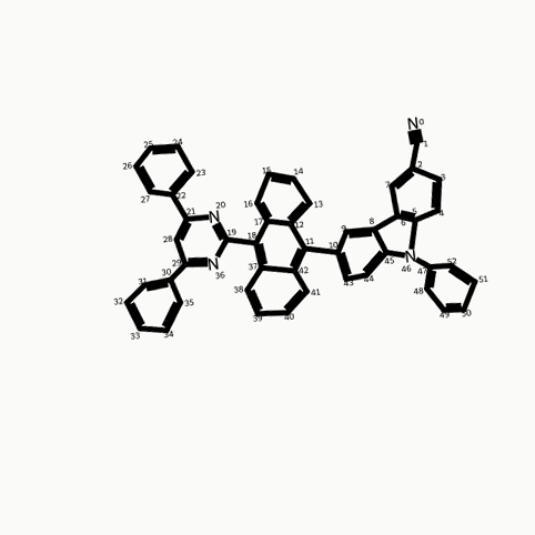 N#Cc1ccc2c(c1)c1cc(-c3c4ccccc4c(-c4nc(-c5ccccc5)cc(-c5ccccc5)n4)c4ccccc34)ccc1n2-c1ccccc1